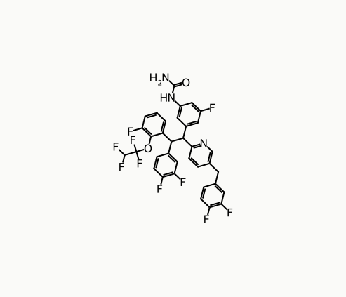 NC(=O)Nc1cc(F)cc(C(c2ccc(Cc3ccc(F)c(F)c3)cn2)C(c2ccc(F)c(F)c2)c2cccc(F)c2OC(F)(F)C(F)F)c1